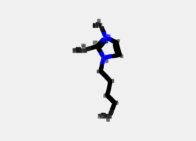 CCCCCCCCCCCCCCn1cc[n+](CCC)c1CCCCCC